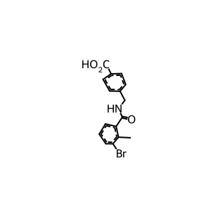 Cc1c(Br)cccc1C(=O)NCc1ccc(C(=O)O)cc1